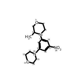 CC1COCCN1c1cc(N2CCOCC2)cc([N+](=O)[O-])c1